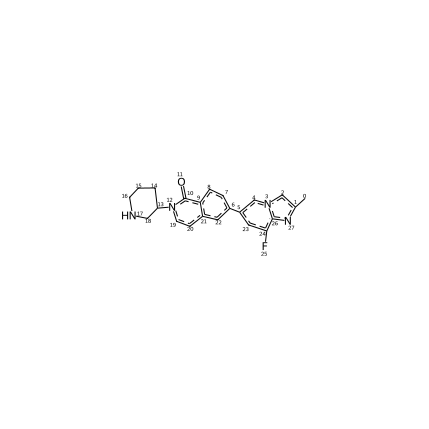 Cc1cn2cc(-c3ccc4c(=O)n(C5CCCNC5)ccc4c3)cc(F)c2n1